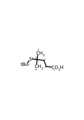 CC(C)(C)SC(C)(C)CCC(=O)O